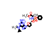 COC(=O)[C@H](C)N[P@](=O)(OC[C@@H]1CC[C@H](n2cnc3c(N(C)C4CC4)nc(N)nc32)O1)Oc1ccccc1